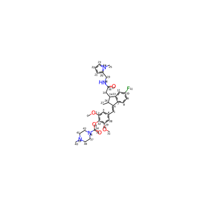 COc1cc(C=C2c3ccc(F)cc3C(CC(=O)NCc3cccn3C)C2C)cc(OC)c1OC(=O)N1CCN(C)CC1